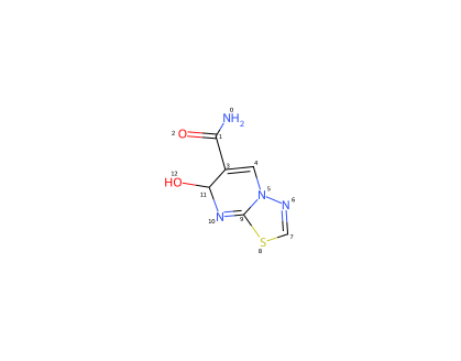 NC(=O)C1=CN2N=CSC2=NC1O